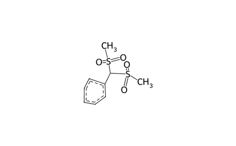 CS(=O)(=O)C(c1ccccc1)S(C)(=O)=O